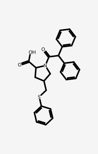 O=C(O)C1CC(CSc2ccccc2)CN1C(=O)C(c1ccccc1)c1ccccc1